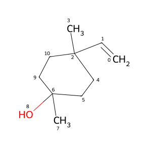 C=CC1(C)CCC(C)(O)CC1